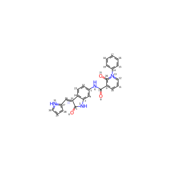 O=C1Nc2cc(NC(=O)c3cccn(-c4ccccc4)c3=O)ccc2/C1=C/c1ccc[nH]1